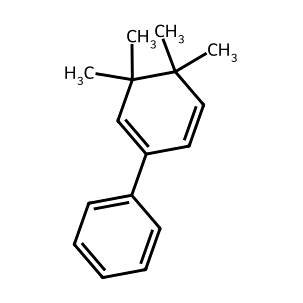 CC1(C)C=CC(c2ccccc2)=CC1(C)C